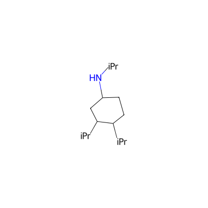 CC(C)NC1CCC(C(C)C)C(C(C)C)C1